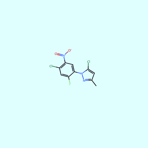 Cc1cc(Cl)n(-c2cc([N+](=O)[O-])c(Cl)cc2F)n1